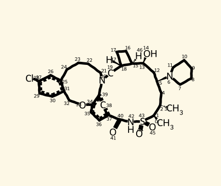 C[C@@H]1[C@@H](C)C[C@H](N2CCCCC2)C[C@H](O)[C@@H]2CC[C@H]2CN2CCCCc3cc(Cl)ccc3COc3ccc(cc32)C(=O)NS1(=O)=O